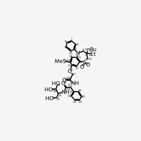 CCCCC1(CC)CN(c2ccccc2)c2cc(SC)c(OCC(=O)N[C@@H](C(=O)NC(CO)C(O)O)c3ccccc3)cc2S(=O)(=O)C1